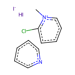 C[n+]1ccccc1Cl.I.[I-].c1ccncc1